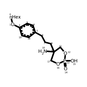 CCCCCCOc1ccc(CCCC2(N)COP(=O)(O)OC2)cc1